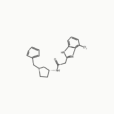 O=C(Cc1nc2c(C(F)(F)F)cccc2[nH]1)N[C@@H]1CCN(Cc2ccccc2)C1